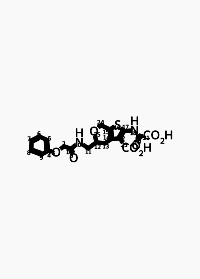 O=C(COc1ccccc1)NCC1Cc2c(sc(NC(=O)C(=O)O)c2C(=O)O)CO1